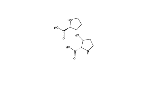 O=C(O)[C@@H]1CCCN1.O=C(O)[C@H]1NCCC1O